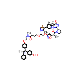 CC/C(=C(/c1ccc(O)cc1)c1ccc(OCCN(C)C(=O)CCCOCCOc2cc(C(C(=O)N3CCC[C@H]3C3=NC(=O)[C@@](C)(c4ccc(-c5scnc5C)cc4)N3)C(C)C)on2)cc1)c1ccccc1